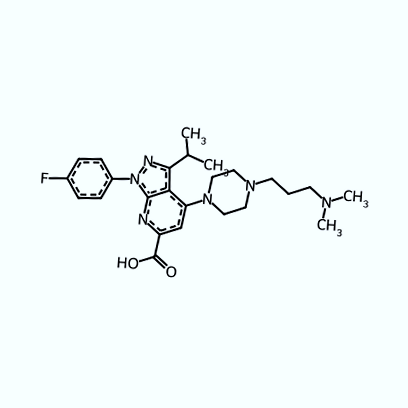 CC(C)c1nn(-c2ccc(F)cc2)c2nc(C(=O)O)cc(N3CCN(CCCN(C)C)CC3)c12